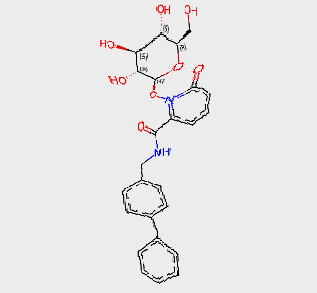 O=C(NCc1ccc(-c2ccccc2)cc1)c1cccc(=O)n1O[C@@H]1O[C@H](CO)[C@@H](O)[C@H](O)[C@H]1O